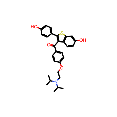 CC(C)N(CCOc1ccc(C(=O)c2c(-c3ccc(O)cc3)sc3cc(O)ccc23)cc1)C(C)C